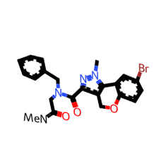 CNC(=O)CN(Cc1ccccc1)C(=O)c1nn(C)c2c1COc1ccc(Br)cc1-2